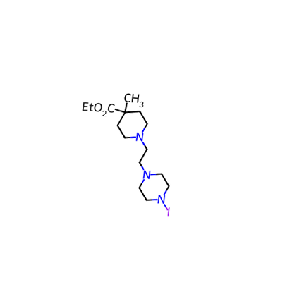 CCOC(=O)C1(C)CCN(CCN2CCN(I)CC2)CC1